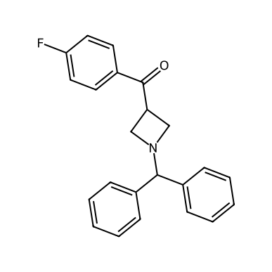 O=C(c1ccc(F)cc1)C1CN(C(c2ccccc2)c2ccccc2)C1